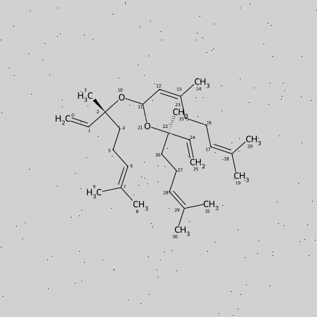 C=C[C@@](C)(CCC=C(C)C)OC(/C=C(/C)CCC=C(C)C)O[C@@](C)(C=C)CCC=C(C)C